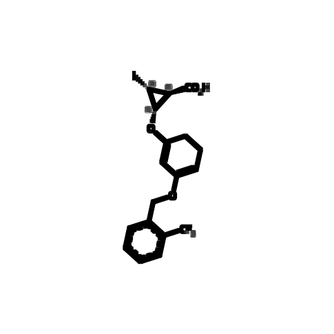 O=C(O)[C@@H]1[C@@H](I)[C@H]1OC1=CC(OCc2ccccc2C(F)(F)F)=CCC1